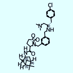 C[C@@H]1[C@@H](NC(=O)C2CCS(=O)(=O)N2Cc2cccc(CN[C@@H](Cc3ccc(Cl)cc3)CN(C)C)c2)C[C@H]2C[C@@H]1C2(C)C